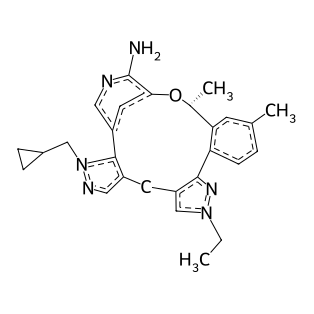 CCn1cc2c(n1)-c1ccc(C)cc1[C@@H](C)Oc1cc(cnc1N)-c1c(cnn1CC1CC1)C2